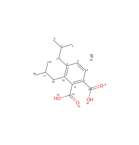 CC(C)Cc1ccc(C(=O)O)c(C(=O)O)c1CC(C)C.[Ti]